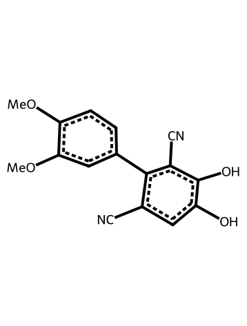 COc1ccc(-c2c(C#N)cc(O)c(O)c2C#N)cc1OC